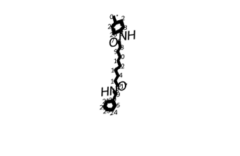 [CH2]c1ccc(NC(=O)CCCCCCCCC(=O)NCc2ccccc2)cc1